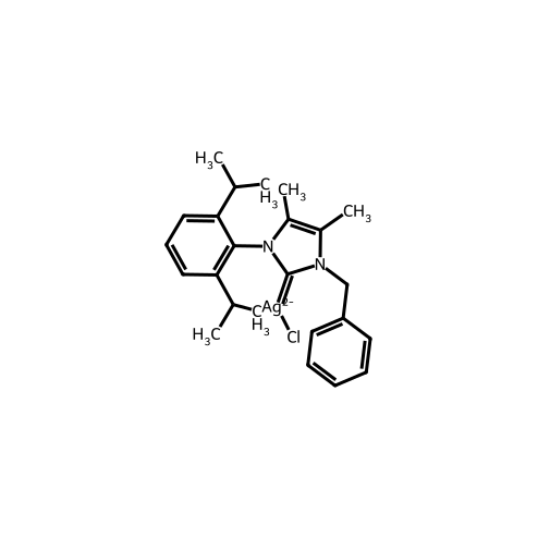 Cc1c(C)n(-c2c(C(C)C)cccc2C(C)C)[c](=[Ag-2][Cl])n1Cc1ccccc1